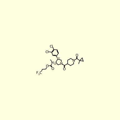 CN(C(=O)OCCC(F)(F)F)[C@H]1CN(C(=O)C2CCN(C(=O)C3(C)CC3)CC2)C[C@@H]1c1ccc(Cl)c(Cl)c1